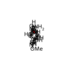 COCCc1ncnc2c1ncn2[C@@H]1OC2COP(=O)(O)O[C@@H]3[C@H](O)[C@@H](COP(=O)(O)O[C@H]2[C@H]1O)O[C@H]3n1cnc2c(=O)[nH]c(N)nc21